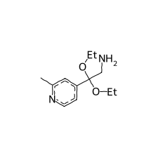 CCOC(CN)(OCC)c1ccnc(C)c1